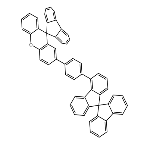 c1ccc2c(c1)Oc1ccc(-c3ccc(-c4cccc5c4-c4ccccc4C54c5ccccc5-c5ccccc54)cc3)cc1C21c2ccccc2-c2ccccc21